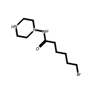 O=C(CCCCCBr)NN1CCNCC1